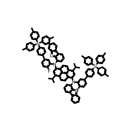 CC1=CCC([Si](c2ccc(C)cc2)(c2ccc(C)cc2)c2ccc(-c3ccc(F)c(N(c4cc(C(C)C)c5ccc6c(N(c7cc(-c8ccc([Si](c9ccc(C)cc9)(c9ccc(C)cc9)c9ccc(C)cc9)cc8)ccc7F)c7cccc8c7oc7ccccc78)cc(C(C)C)c7ccc4c5c76)c4cccc5c4oc4ccccc45)c3)cc2)C=C1